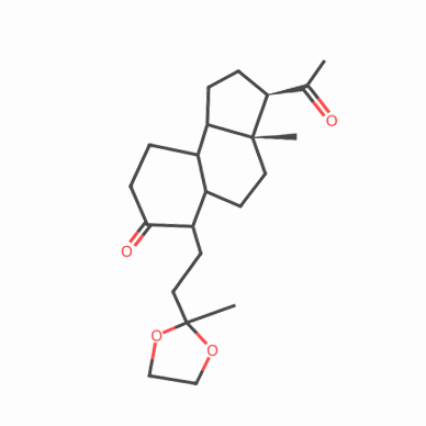 CC(=O)[C@@H]1CCC2C3CCC(=O)C(CCC4(C)OCCO4)C3CC[C@]21C